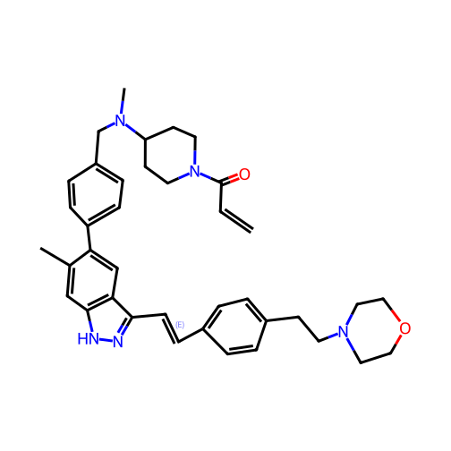 C=CC(=O)N1CCC(N(C)Cc2ccc(-c3cc4c(/C=C/c5ccc(CCN6CCOCC6)cc5)n[nH]c4cc3C)cc2)CC1